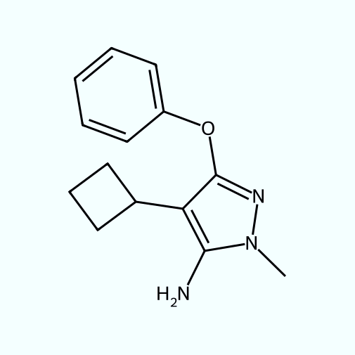 Cn1nc(Oc2ccccc2)c(C2CCC2)c1N